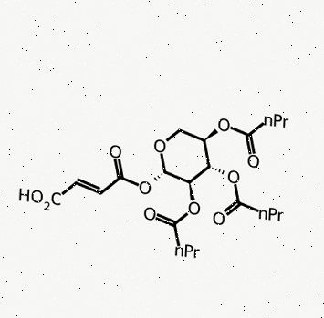 CCCC(=O)O[C@@H]1[C@@H](OC(=O)CCC)[C@H](OC(=O)/C=C/C(=O)O)OC[C@H]1OC(=O)CCC